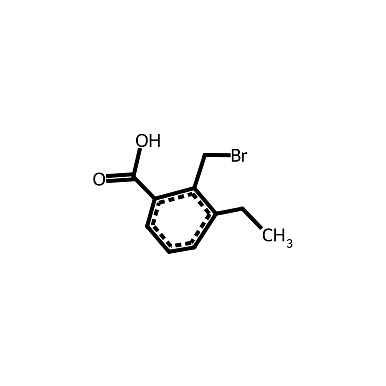 CCc1cccc(C(=O)O)c1CBr